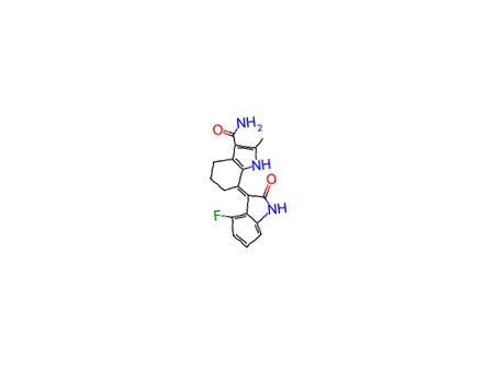 Cc1[nH]c2c(c1C(N)=O)CCC/C2=C1/C(=O)Nc2cccc(F)c21